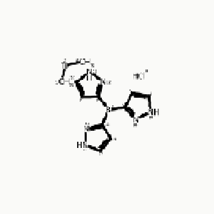 Cl.[CH3][Ti][CH3].c1cc(B(c2cc[nH]n2)c2cc[nH]n2)n[nH]1